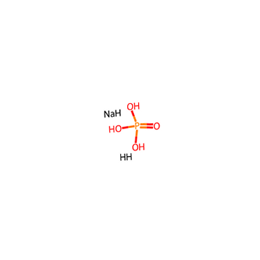 O=P(O)(O)O.[HH].[NaH]